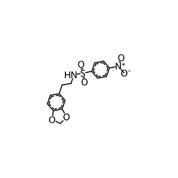 O=[N+]([O-])c1ccc(S(=O)(=O)NCCc2ccc3c(c2)OCO3)cc1